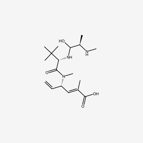 C=C[C@@H](/C=C(\C)C(=O)O)N(C)C(=O)[C@@H](NC(O)[C@@H](C)NC)C(C)(C)C